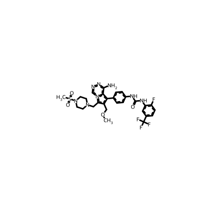 COCc1c(-c2ccc(NC(=O)Nc3cc(C(F)(F)F)ccc3F)cc2)c2c(N)nncn2c1CN1CCN(S(C)(=O)=O)CC1